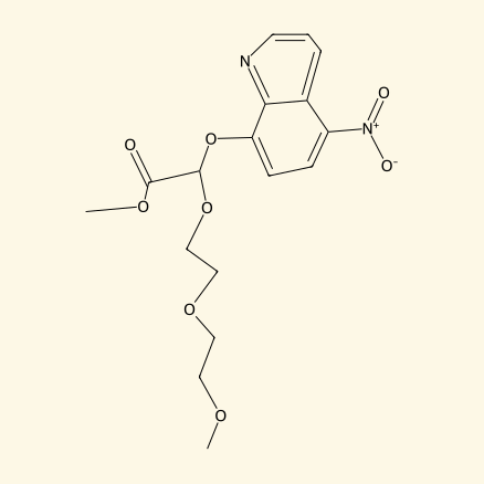 COCCOCCOC(Oc1ccc([N+](=O)[O-])c2cccnc12)C(=O)OC